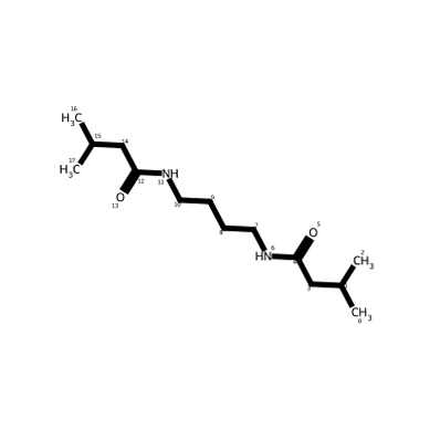 CC(C)CC(=O)NCCCCNC(=O)CC(C)C